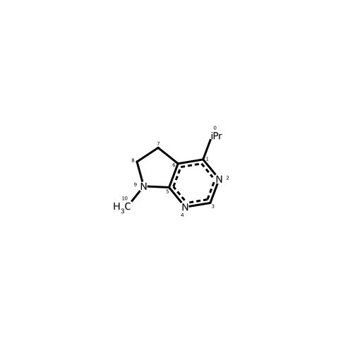 CC(C)c1ncnc2c1CCN2C